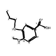 CCCOc1cc(C(=O)O)ccc1OC